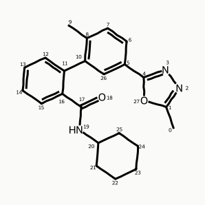 Cc1nnc(-c2ccc(C)c(-c3ccccc3C(=O)NC3CCCCC3)c2)o1